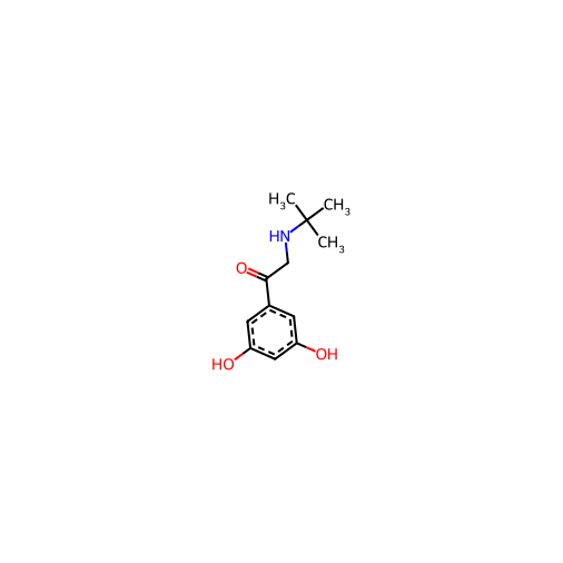 CC(C)(C)NCC(=O)c1cc(O)cc(O)c1